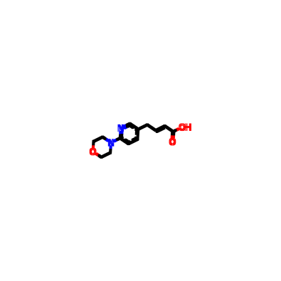 O=C(O)/C=C/Cc1ccc(N2CCOCC2)nc1